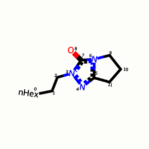 CCCCCCCCn1nc2n(c1=O)CCC2